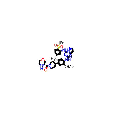 COc1cc(C2CCN(C(=O)[C@H]3COCCN3)CC2)c(C)cc1Nc1nc(Nc2ccccc2S(=O)(=O)C(C)C)n2nccc2n1